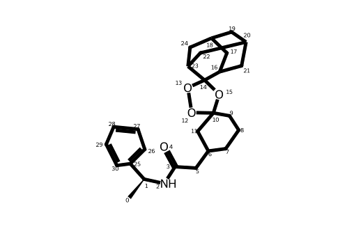 C[C@H](NC(=O)CC1CCCC2(C1)OOC1(O2)C2CC3CC(C2)CC1C3)c1ccccc1